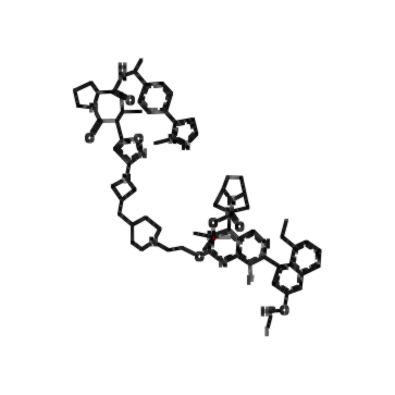 CCc1cccc2cc(OPI)cc(-c3ncc4c(N5CC6CCC(C5)N6C(=O)OC(C)(C)C)nc(OCCN5CCC(CC6CN(c7cc(C(C(=O)N8CCCC8C(=O)NC(C)c8ccc(-c9ccnn9C)cc8)C(C)C)on7)C6)CC5)nc4c3F)c12